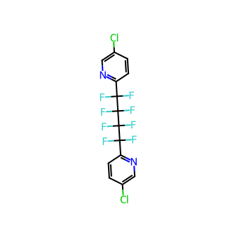 FC(F)(c1ccc(Cl)cn1)C(F)(F)C(F)(F)C(F)(F)c1ccc(Cl)cn1